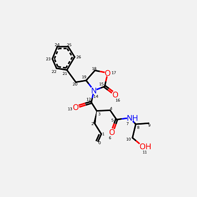 C=CC[C@H](CC(=O)NC(C)CO)C(=O)N1C(=O)OCC1Cc1ccccc1